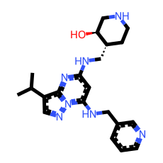 CC(C)c1cnn2c(NCc3cccnc3)cc(NC[C@H]3CCNC[C@@H]3O)nc12